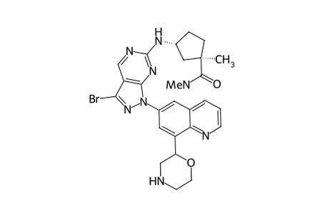 CNC(=O)[C@]1(C)CC[C@@H](Nc2ncc3c(Br)nn(-c4cc(C5CNCCO5)c5ncccc5c4)c3n2)C1